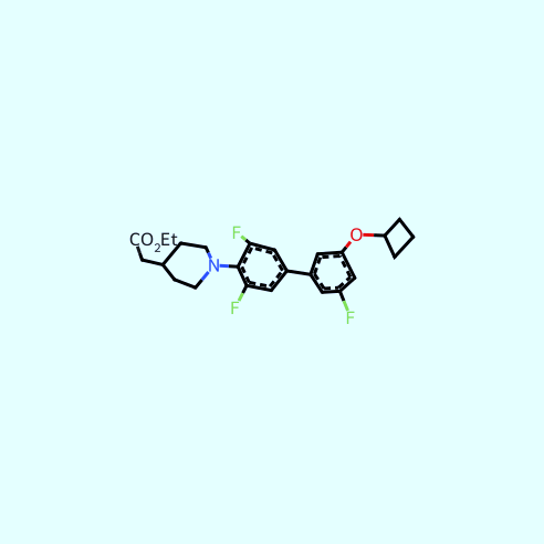 CCOC(=O)CC1CCN(c2c(F)cc(-c3cc(F)cc(OC4CCC4)c3)cc2F)CC1